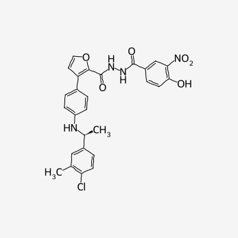 Cc1cc([C@H](C)Nc2ccc(-c3ccoc3C(=O)NNC(=O)c3ccc(O)c([N+](=O)[O-])c3)cc2)ccc1Cl